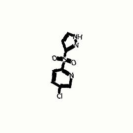 O=S(=O)(c1ccc(Cl)cn1)c1cc[nH]n1